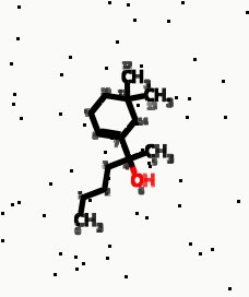 CCCCC(C)(O)C1=CCCC(C)(C)C1